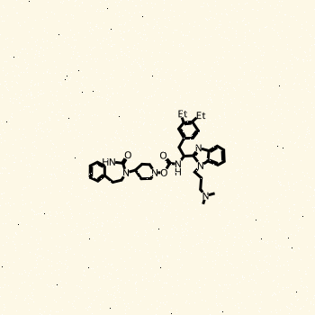 CCc1ccc(CC(NC(=O)ON2CCC(N3CCc4ccccc4NC3=O)CC2)c2nc3ccccc3n2CCCN(C)C)cc1CC